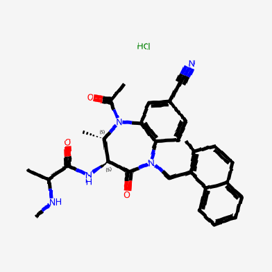 CNC(C)C(=O)N[C@@H]1C(=O)N(Cc2c(C)ccc3ccccc23)c2ccc(C#N)cc2N(C(C)=O)[C@H]1C.Cl